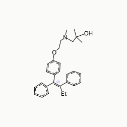 CC/C(=C(\c1ccccc1)c1ccc(OCCN(C)CC(C)(C)O)cc1)c1ccccc1